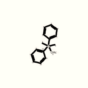 CC(=O)OP(C)(C)(c1ccccc1)c1ccccc1